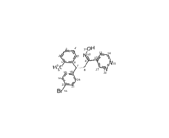 Cc1ccccc1[C@H](C/C(=N/O)c1ccnnc1)c1ccc(Br)cc1